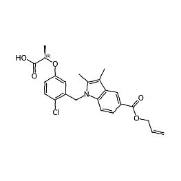 C=CCOC(=O)c1ccc2c(c1)c(C)c(C)n2Cc1cc(O[C@H](C)C(=O)O)ccc1Cl